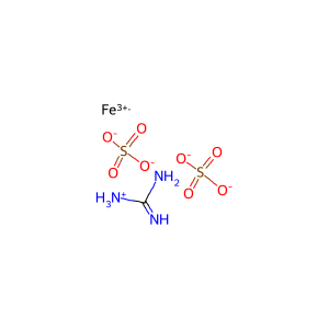 N=C(N)[NH3+].O=S(=O)([O-])[O-].O=S(=O)([O-])[O-].[Fe+3]